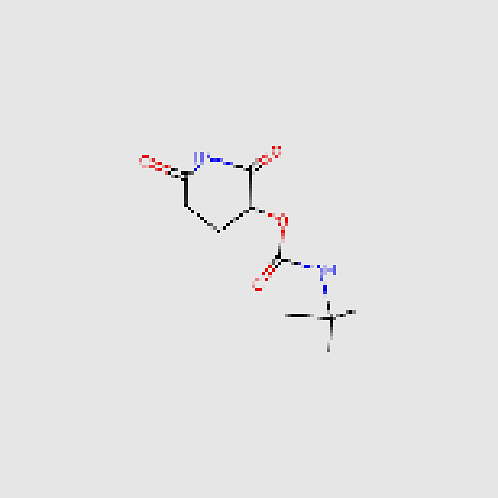 CC(C)(C)NC(=O)OC1CCC(=O)NC1=O